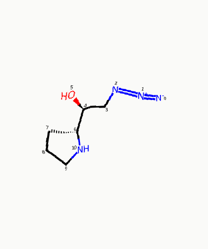 [N-]=[N+]=NC[C@H](O)[C@H]1CCCN1